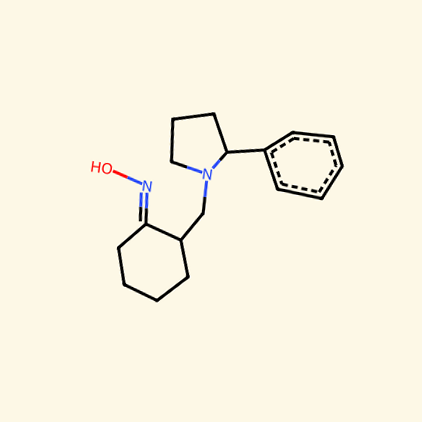 ON=C1CCCCC1CN1CCCC1c1ccccc1